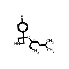 C=C/C(=C\C=C(C)C)OC1(c2ccc(F)cc2)CNC1